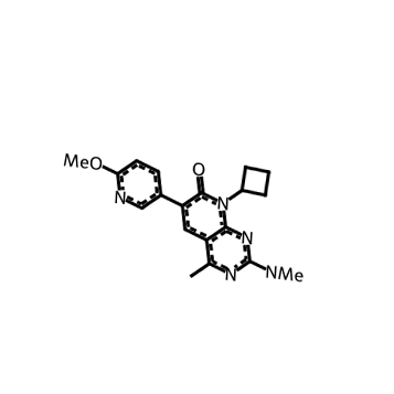 CNc1nc(C)c2cc(-c3ccc(OC)nc3)c(=O)n(C3CCC3)c2n1